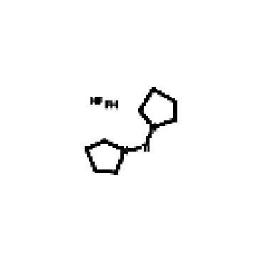 C1CC[N]([Ti][N]2CCCC2)C1.F.F